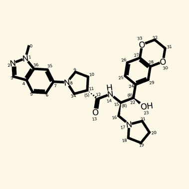 Cn1ncc2ccc(N3CC[C@H](C(=O)N[C@H](CN4CCCC4)[C@H](O)c4ccc5c(c4)OCCO5)C3)cc21